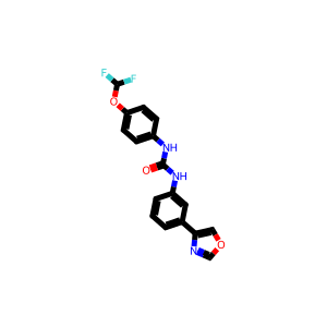 O=C(Nc1ccc(OC(F)F)cc1)Nc1cccc(-c2cocn2)c1